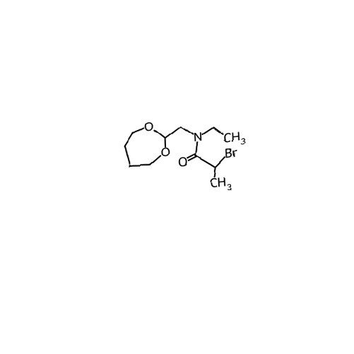 CCN(CC1OCCCCO1)C(=O)C(C)Br